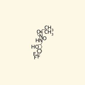 CC(C)C[C@H]1CN(C(=O)NCC(CO)Cc2ccc(C(F)(F)F)cc2)CCO1